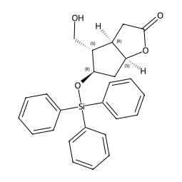 O=C1C[C@@H]2[C@@H](CO)[C@H](O[Si](c3ccccc3)(c3ccccc3)c3ccccc3)C[C@@H]2O1